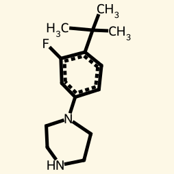 CC(C)(C)c1ccc(N2CCNCC2)cc1F